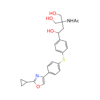 CC(=O)NC(CO)(CO)CC(O)c1ccc(Sc2ccc(-c3coc(C4CC4)n3)cc2)cc1